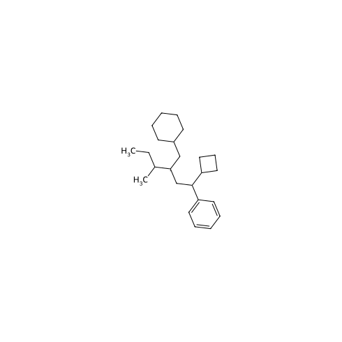 CCC(C)[C](CC1CCCCC1)CC(c1ccccc1)C1CCC1